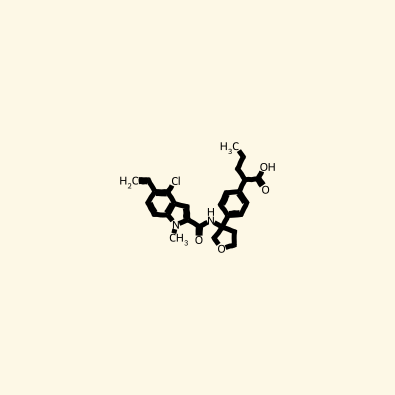 C=Cc1ccc2c(cc(C(=O)NC3(c4ccc(C(CCC)C(=O)O)cc4)CCOC3)n2C)c1Cl